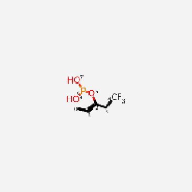 CC=C(CC(F)(F)F)OP(O)O